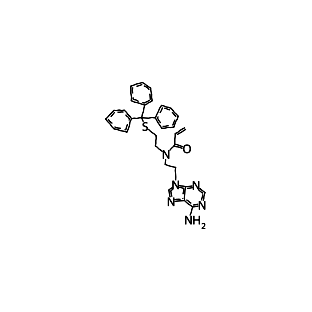 C=CC(=O)N(CCSC(c1ccccc1)(c1ccccc1)c1ccccc1)CCn1cnc2c(N)ncnc21